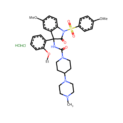 CCOc1ccccc1C1(NC(=O)N2CCC(N3CCN(C)CC3)CC2)C(=O)N(S(=O)(=O)c2ccc(OC)cc2)c2ccc(OC)cc21.Cl.Cl